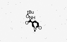 Cn1cc(C(=O)NOC(C)(C)C)ccc1=O